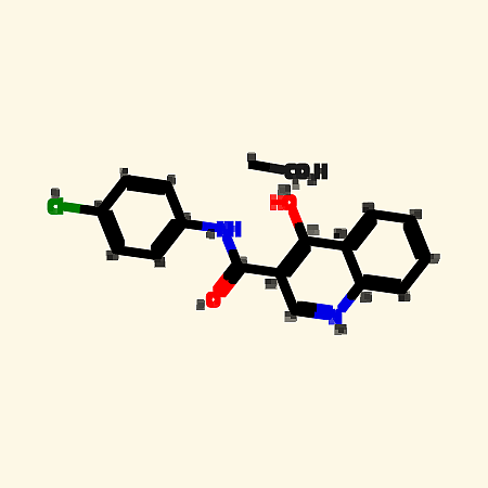 CC(=O)O.O=C(Nc1ccc(Cl)cc1)c1cnc2ccccc2c1O